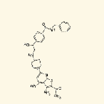 CCCc1cc(N2CCC(NCC(O)c3ccc(C(=O)NCc4ccccc4)cc3)CC2)nc2sc(C(N)=O)c(N)c12